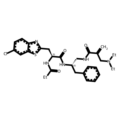 C=C(CN(CC)CC)C(=O)NC[C@H](Cc1ccccc1)NC(=O)[C@H](Cc1nc2ccc(Cl)cc2s1)NC(=O)CC